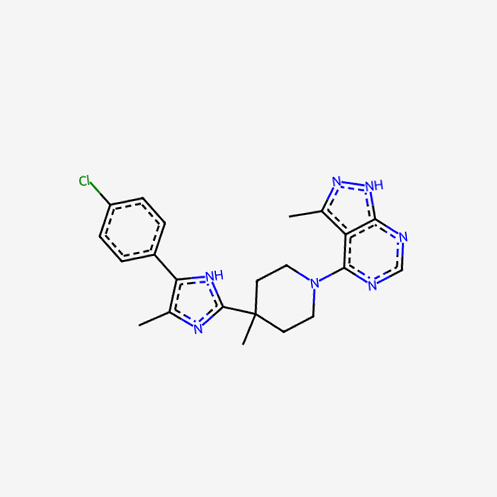 Cc1nc(C2(C)CCN(c3ncnc4[nH]nc(C)c34)CC2)[nH]c1-c1ccc(Cl)cc1